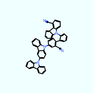 N#Cc1cc(-n2c3ccccc3c3cc(-n4c5ccccc5c5ccccc54)ccc32)ccc1-c1ccccc1-n1c2ccccc2c2c(C#N)cccc21